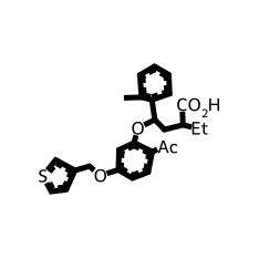 CCC(CC(Oc1cc(OCc2ccsc2)ccc1C(C)=O)c1ccccc1C)C(=O)O